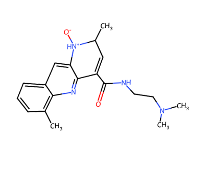 Cc1cccc2cc3c(nc12)C(C(=O)NCCN(C)C)=CC(C)[NH+]3[O-]